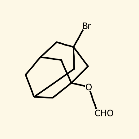 O=COC12CC3CC(CC(Br)(C3)C1)C2